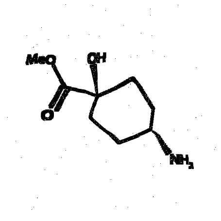 COC(=O)[C@]1(O)CC[C@H](N)CC1